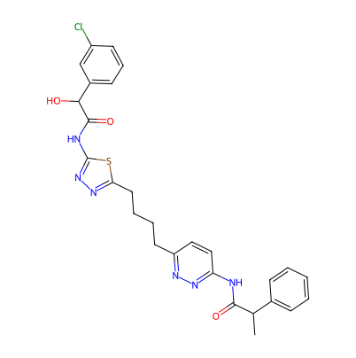 CC(C(=O)Nc1ccc(CCCCc2nnc(NC(=O)C(O)c3cccc(Cl)c3)s2)nn1)c1ccccc1